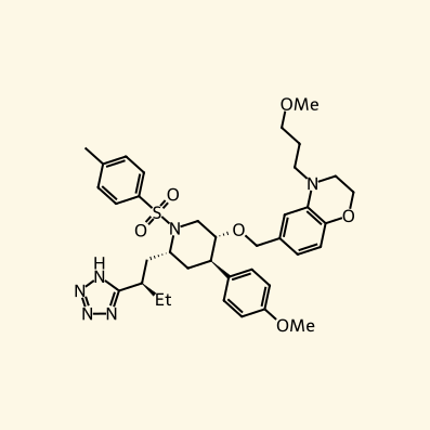 CC[C@H](C[C@H]1C[C@H](c2ccc(OC)cc2)[C@@H](OCc2ccc3c(c2)N(CCCOC)CCO3)CN1S(=O)(=O)c1ccc(C)cc1)c1nnn[nH]1